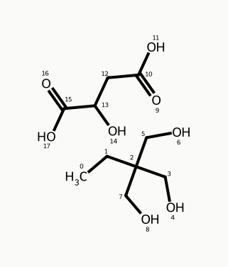 CCC(CO)(CO)CO.O=C(O)CC(O)C(=O)O